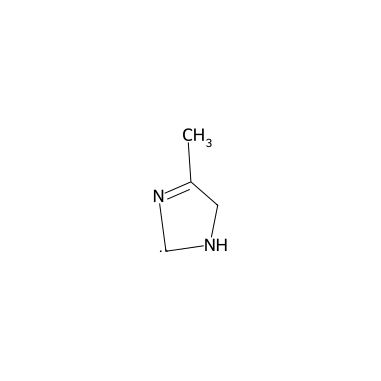 CC1=N[CH]NC1